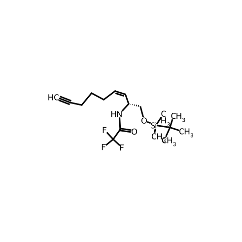 C#CCCC/C=C\[C@H](CO[Si](C)(C)C(C)(C)C)NC(=O)C(F)(F)F